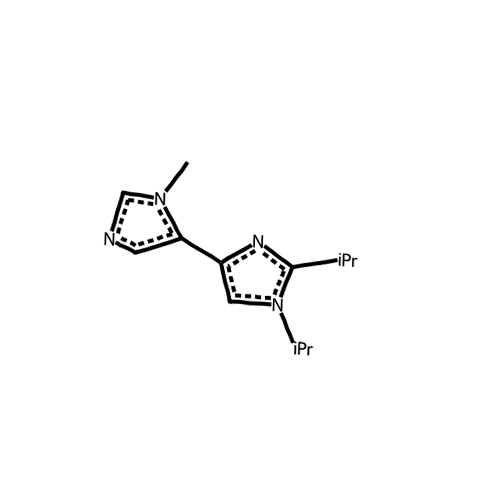 CC(C)c1nc(-c2cncn2C)cn1C(C)C